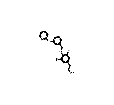 CC(=O)CCc1cc(F)c(OCc2cccc(Oc3ccccn3)c2)c(F)c1